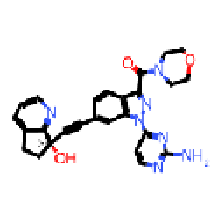 Nc1nccc(-n2nc(C(=O)N3CCOCC3)c3ccc(C#C[C@]4(O)CCc5cccnc54)cc32)n1